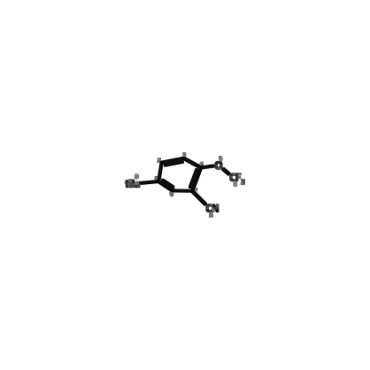 CC(C)(C)c1ccc(OC(F)(F)F)c(C#N)c1